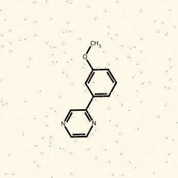 COc1cccc(-c2cnccn2)c1